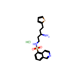 Cl.NC(CCNS(=O)(=O)c1cccc2cnccc12)CCc1cccs1